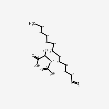 CC(SC(=S)S)C(=O)O.CCCCCCCCCCCCC=S